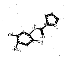 O=C(Nc1cc(Cl)c([N+](=O)[O-])cc1O)c1ccco1